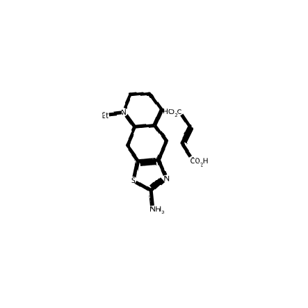 CCN1CCCC2Cc3nc(N)sc3CC21.O=C(O)C=CC(=O)O